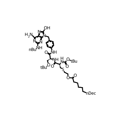 CCCCCCCCCCCCCCCC(=O)OCCSC[C@H](NC(=O)OC(C)(C)C)C(=O)N[C@@H](COC(C)(C)C)C(=O)Nc1ccc(Cn2c(O)nc3c(N)nc(NCCCC)nc32)cc1